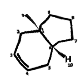 C[C@@]12CC=CC[C@@H]1CCC2